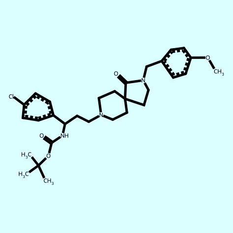 COc1ccc(CN2CCC3(CCN(CCC(NC(=O)OC(C)(C)C)c4ccc(Cl)cc4)CC3)C2=O)cc1